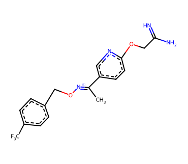 C/C(=N\OCc1ccc(C(F)(F)F)cc1)c1ccc(OCC(=N)N)nc1